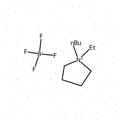 CCCC[N+]1(CC)CCCC1.F[B-](F)(F)F